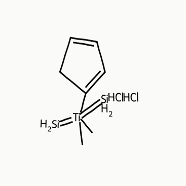 Cl.Cl.[CH3][Ti]([CH3])(=[SiH2])(=[SiH2])[C]1=CC=CC1